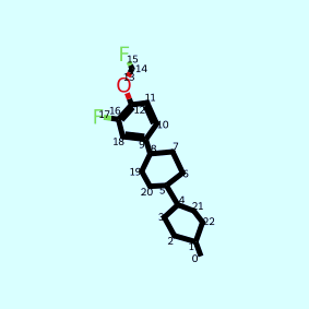 CC1CCC(C2CCC(c3ccc(OCF)c(F)c3)CC2)CC1